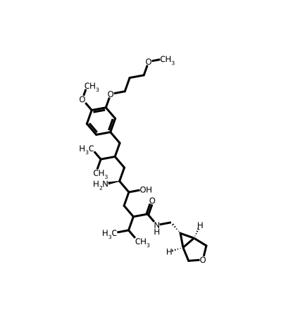 COCCCOc1cc(CC(C[C@H](N)C(O)CC(C(=O)NC[C@@H]2[C@H]3COC[C@@H]23)C(C)C)C(C)C)ccc1OC